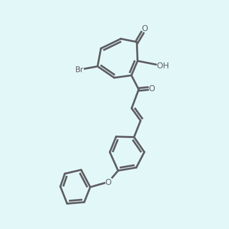 O=C(/C=C/c1ccc(Oc2ccccc2)cc1)c1cc(Br)ccc(=O)c1O